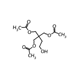 CC(=O)OCC(CCO)(COC(C)=O)COC(C)=O